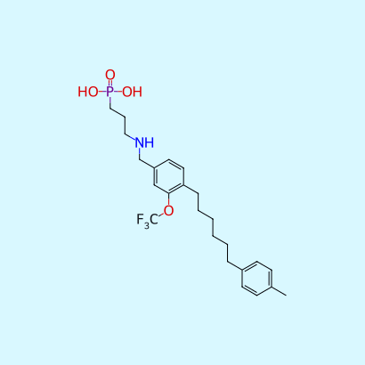 Cc1ccc(CCCCCCc2ccc(CNCCCP(=O)(O)O)cc2OC(F)(F)F)cc1